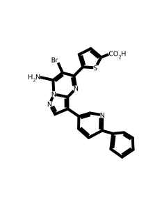 Nc1c(Br)c(-c2ccc(C(=O)O)s2)nc2c(-c3ccc(-c4ccccc4)nc3)cnn12